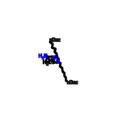 CCCCCCCCCCCCCCCCCCN(CCCCCCCCCCCCCCCCCC)CC(C)NCC(C)N